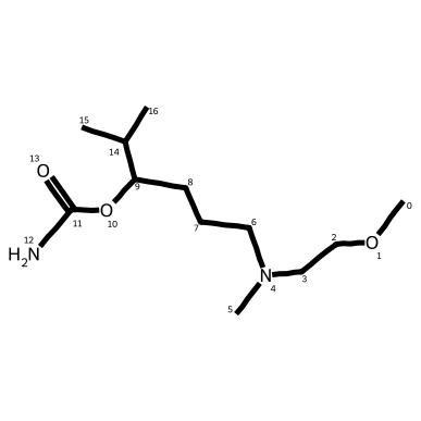 COCCN(C)CCCC(OC(N)=O)C(C)C